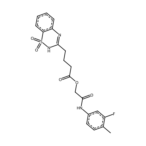 Cc1ccc(NC(=O)COC(=O)CCCC2=Nc3ccccc3S(=O)(=O)N2)cc1F